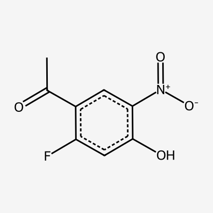 CC(=O)c1cc([N+](=O)[O-])c(O)cc1F